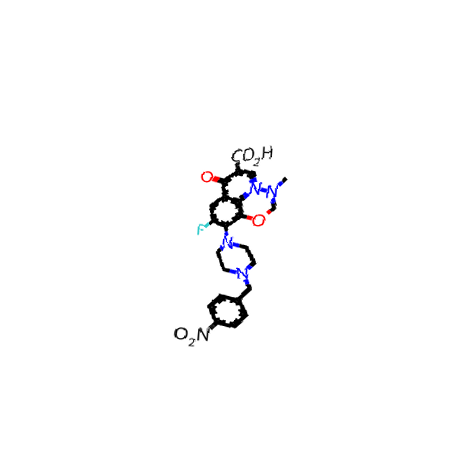 CN1COc2c(N3CCN(Cc4ccc([N+](=O)[O-])cc4)CC3)c(F)cc3c(=O)c(C(=O)O)cn1c23